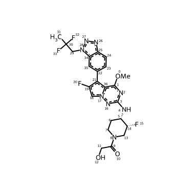 COc1nc(N[C@H]2CCN(C(=O)CO)C[C@H]2F)nn2cc(F)c(-c3ccc4nnn(CC(C)(F)F)c4c3)c12